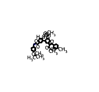 CNC(=O)c1c(-c2ccc(C)cc2)oc2cc(N(C)S(C)(=O)=O)c(-c3ccc4c(c3)C(=O)/C(=C\c3ccc(OC(C)(C)C)cc3)O4)cc12